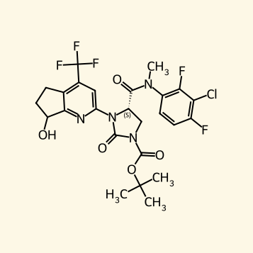 CN(C(=O)[C@@H]1CN(C(=O)OC(C)(C)C)C(=O)N1c1cc(C(F)(F)F)c2c(n1)C(O)CC2)c1ccc(F)c(Cl)c1F